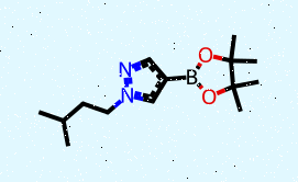 CC(C)CCn1cc(B2OC(C)(C)C(C)(C)O2)cn1